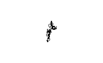 CCOCCC(=O)Cc1sc(Sc2ccncc2C(=O)OCC)nc1C